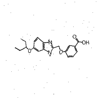 CCC(CC)Oc1ccc2nc(COc3cccc(C(=O)O)c3)n(C)c2c1